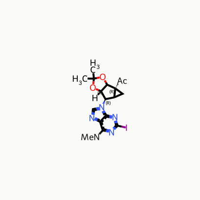 CNc1nc(I)nc2c1ncn2[C@@H]1C2C[C@]2(C(C)=O)C2OC(C)(C)O[C@H]21